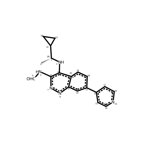 C[C@@H](Nc1c(NC=O)nnc2cc(-c3ccncc3)ccc12)C1CC1